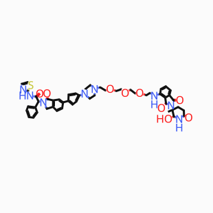 CC1(N2C(=O)c3cccc(NCCOCCOCCOCCN4CCN(c5ccc(-c6ccc7c(c6)C(=O)N(C(C(=O)Nc6nccs6)c6ccccc6)C7)cc5)CC4)c3C2=O)CCC(=O)NC1O